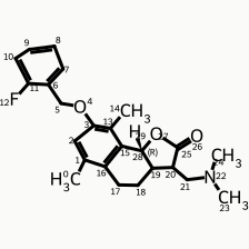 Cc1cc(OCc2ccccc2F)c(C)c2c1CCC1C(CN(C)C)C(=O)O[C@@H]21